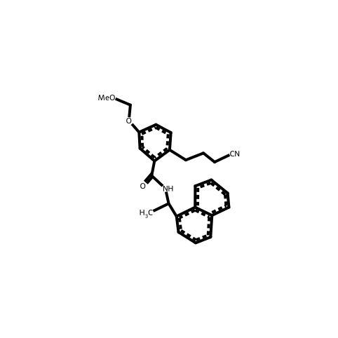 COCOc1ccc(CCCC#N)c(C(=O)NC(C)c2cccc3ccccc23)c1